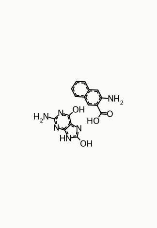 Nc1cc2ccccc2cc1C(=O)O.Nc1nc(O)c2nc(O)[nH]c2n1